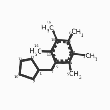 Cc1c(C)c(C)c(CC2CCCC2)c(C)c1C